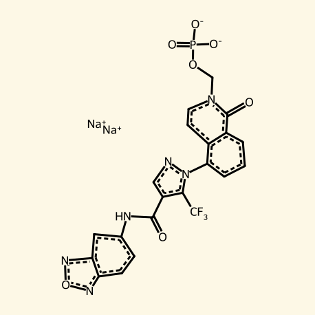 O=C(Nc1ccc2nonc2c1)c1cnn(-c2cccc3c(=O)n(COP(=O)([O-])[O-])ccc23)c1C(F)(F)F.[Na+].[Na+]